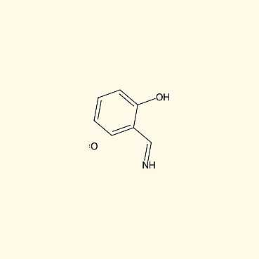 N=Cc1ccccc1O.[O]